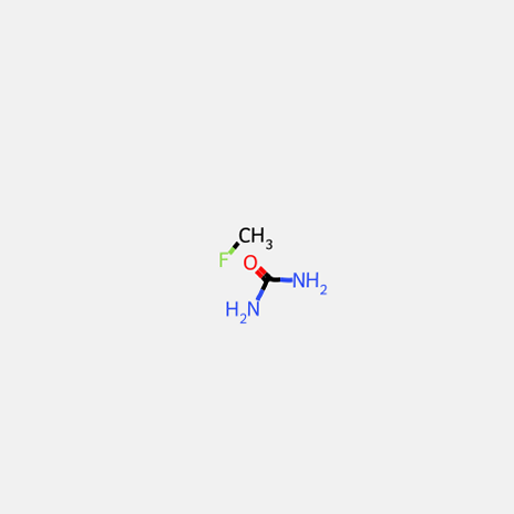 CF.NC(N)=O